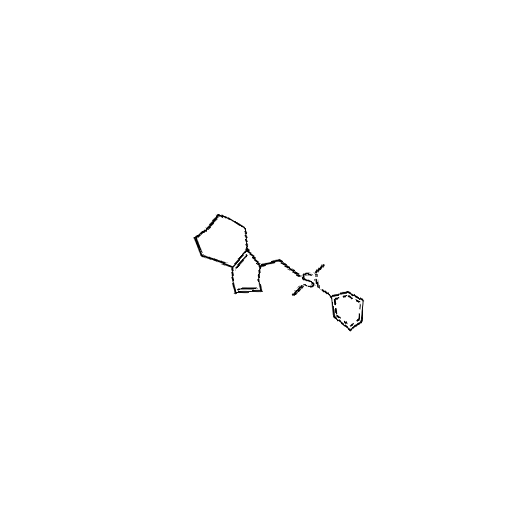 C[Si](C)(CC1C=CC2=C1CCCC2)c1ccccc1